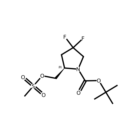 CC(C)(C)OC(=O)N1CC(F)(F)C[C@@H]1COS(C)(=O)=O